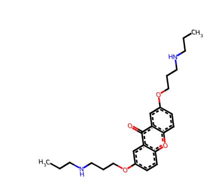 CCCNCCCOc1ccc2oc3ccc(OCCCNCCC)cc3c(=O)c2c1